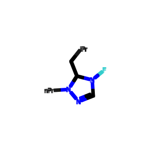 CCCN1N=CN(F)C1CC(C)C